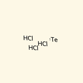 Cl.Cl.Cl.[Te]